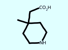 CC1(CC(=O)O)CCNCC1